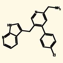 NCc1cc(-c2ccc(Cl)cc2)c(Cc2c[nH]c3ncccc23)cn1